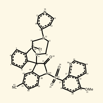 CCOc1ccccc1C1(N2CCN(c3ccncc3)CC2)C(=O)N(S(=O)(=O)c2ccc(OC)c3cccnc23)c2ccc(C#N)cc21